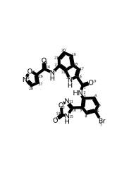 O=C(Nc1ccc(Br)cc1-c1noc(=O)[nH]1)c1cc2cccc(NC(=O)c3ccno3)c2[nH]1